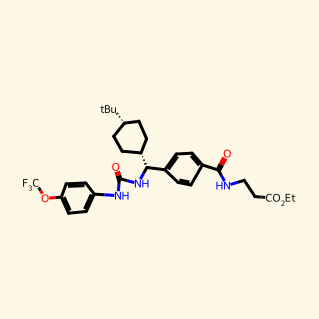 CCOC(=O)CCNC(=O)c1ccc(C(NC(=O)Nc2ccc(OC(F)(F)F)cc2)[C@H]2CC[C@@H](C(C)(C)C)CC2)cc1